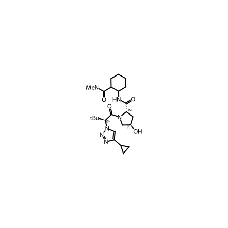 CNC(=O)C1CCCCC1NC(=O)[C@@H]1C[C@@H](O)CN1C(=O)[C@@H](n1cc(C2CC2)nn1)C(C)(C)C